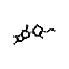 CC1=C(CN)CC=CC(n2cc3cc(C)[nH]c3nc2=O)=C1